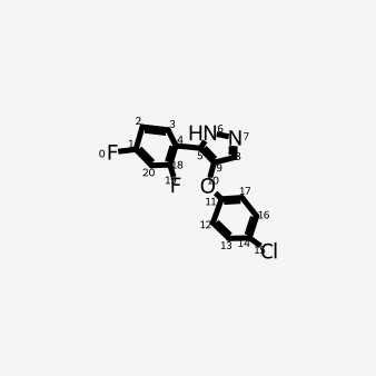 Fc1ccc(-c2[nH]ncc2Oc2ccc(Cl)cc2)c(F)c1